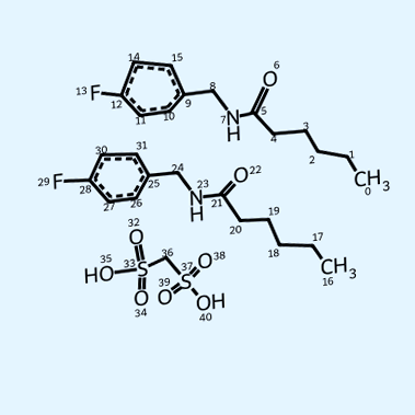 CCCCCC(=O)NCc1ccc(F)cc1.CCCCCC(=O)NCc1ccc(F)cc1.O=S(=O)(O)CS(=O)(=O)O